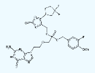 COc1ccc(COP(=O)(COCCn2cnc3c(=O)[nH]c(N)nc32)OCc2oc(=O)oc2C2CCC(F)(F)C2)cc1F